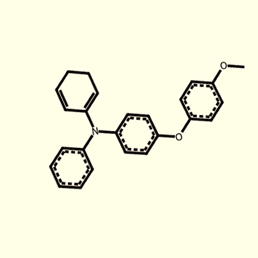 COc1ccc(Oc2ccc(N(C3=CCCC=C3)c3ccccc3)cc2)cc1